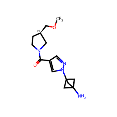 NC12CC(n3cc(C(=O)N4CC[C@@H](COC(F)(F)F)C4)cn3)(C1)C2